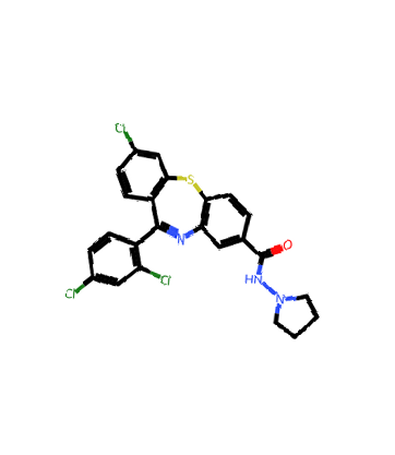 O=C(NN1CCCC1)c1ccc2c(c1)N=C(c1ccc(Cl)cc1Cl)c1ccc(Cl)cc1S2